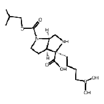 CC(C)COC(=O)N1CC[C@H]2[C@@H]1CN[C@@]2(CCCCB(O)O)C(=O)O